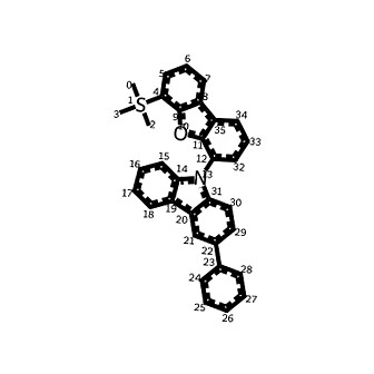 CS(C)(C)c1cccc2c1oc1c(-n3c4ccccc4c4cc(-c5ccccc5)ccc43)cccc12